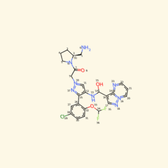 NC[C@@H]1CCCN1C(=O)Cn1cc(NC(O)c2cnn3cccnc23)c(-c2cc(Cl)ccc2OC(F)F)n1